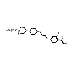 CCCCC[SiH]1CCC(C2CCC(CCCCc3ccc(C(F)=CF)c(F)c3)CC2)CC1